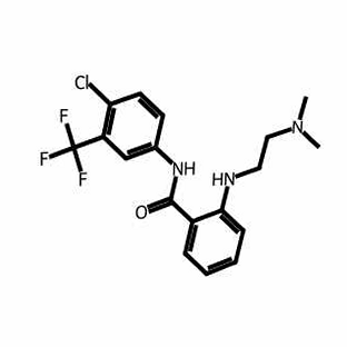 CN(C)CCNc1ccccc1C(=O)Nc1ccc(Cl)c(C(F)(F)F)c1